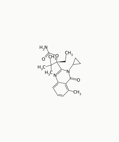 CC[C@@](OC(N)=O)(c1nc2cccc(C)c2c(=O)n1C1CC1)C(C)(C)C